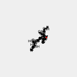 CC[C@H](C)[C@@H](C(=O)N1C[C@H](O)C[C@H]1C(=O)N[C@@H](CO)c1ccc(-c2scnc2C)cc1)n1cc(-c2ccc(COc3c(-c4c(C)c(F)cc5c4cnn5C4CCCCO4)c(C4CC4)cc4c(O[C@H]5CCN(C(=O)NCCN(C)C)C5)nc(OC[C@H](C)OC)nc34)cc2)nn1